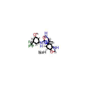 COc1cc(NC23N=CC(C)=C(NO2)N3c2ccc3c(c2)NCO3)cc(C(F)(F)F)c1.[NaH]